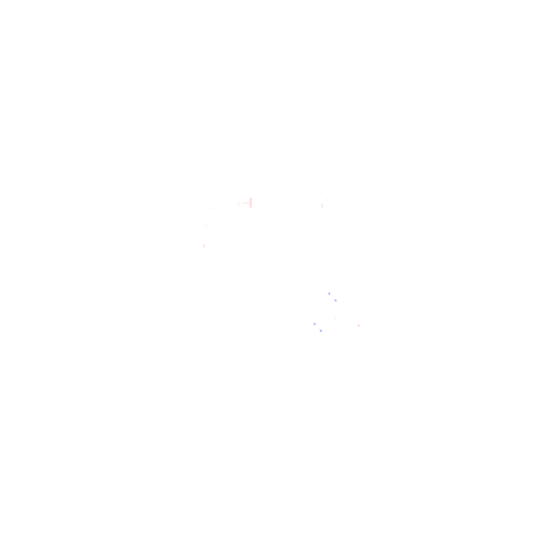 CN1C(=O)N(Cc2ccc(Cl)cc2)CC1CCCc1ccc(OC(C)(C)C(=O)O)cc1